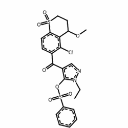 CCn1ncc(C(=O)c2ccc3c(c2Cl)C(OC)CCS3(=O)=O)c1OS(=O)(=O)c1ccccc1